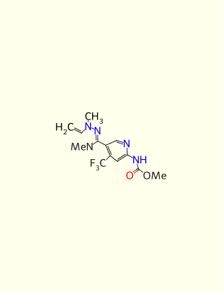 C=CN(C)/N=C(\NC)c1cnc(NC(=O)OC)cc1C(F)(F)F